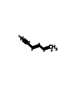 C=CC=CC#N